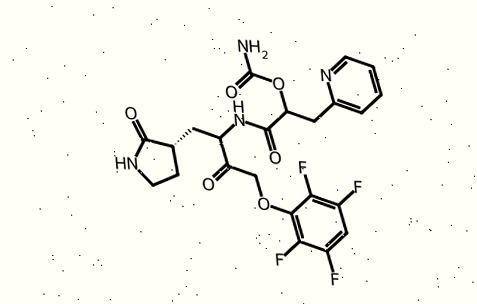 NC(=O)OC(Cc1ccccn1)C(=O)NC(C[C@@H]1CCNC1=O)C(=O)COc1c(F)c(F)cc(F)c1F